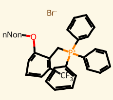 CCCCCCCCCOc1cccc(C(F)(F)F)c1C[P+](c1ccccc1)(c1ccccc1)c1ccccc1.[Br-]